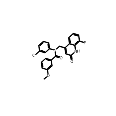 COc1cccc(C(=O)N(Cc2cc(=O)[nH]c3c(F)cccc23)c2cccc(Cl)c2)c1